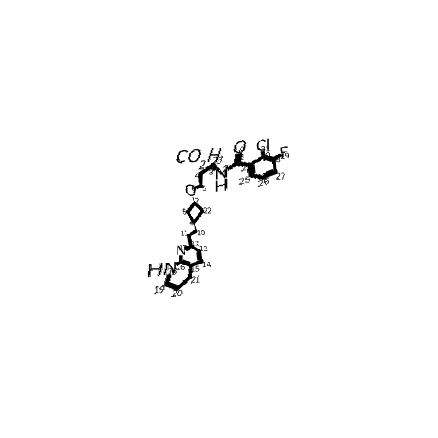 O=C(NC(CCO[C@H]1C[C@H](CCc2ccc3c(n2)NCCC3)C1)C(=O)O)c1cccc(F)c1Cl